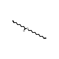 C=CCCCCCCCCOC(=O)CCCCCC=C